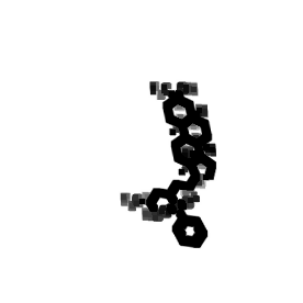 C[C@H](CC(C[C@H](O)C(F)(F)F)S(=O)(=O)c1ccccc1)[C@H]1CC[C@H]2[C@@H]3CC[C@H]4C[C@](O)(C(F)(F)F)CC[C@]4(C)C3CC[C@]12C